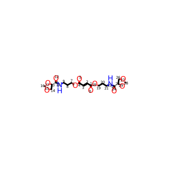 O=C(/C=C/C(=O)OCCCNC(=O)[C@@H]1COCO1)OCCCNC(=O)[C@@H]1COCO1